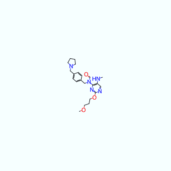 CNc1cnc(OCCCOC)nc1N(C=O)Cc1ccc(CN2CCCC2)cc1